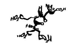 N[C@@H](CC(=O)O)C(=O)N[C@@H](CCC(=O)O)C(=O)N[C@@H](CC(=O)O)C(=O)O